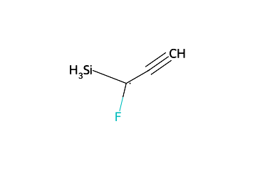 C#C[C](F)[SiH3]